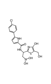 O=C(NC(CN(O)O)c1nc(O)c(CO)s1)c1ccc(-c2ccc(Cl)cc2)[nH]1